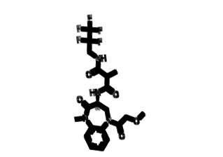 COCC(=O)N1C[C@H](NC(=O)C(C)C(=O)NCC(F)(F)C(F)(F)F)C(=O)N(C)c2ccccc21